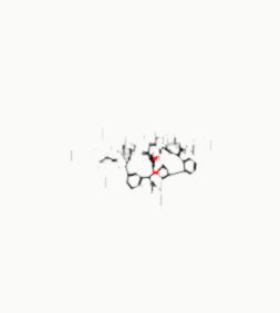 CC(C)C1NC(=O)[C@@H](NC(=O)[C@@H](O)C(C)C)Cc2ccc3c(c2)C24c5cccc(c5NC2O3)-c2cccc3c2c(c(Cl)n3P)-c2oc(nc2Cl)-c2nc1oc24